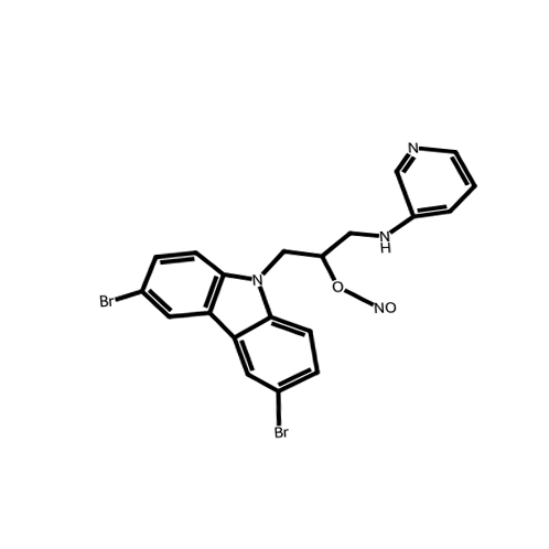 O=NOC(CNc1cccnc1)Cn1c2ccc(Br)cc2c2cc(Br)ccc21